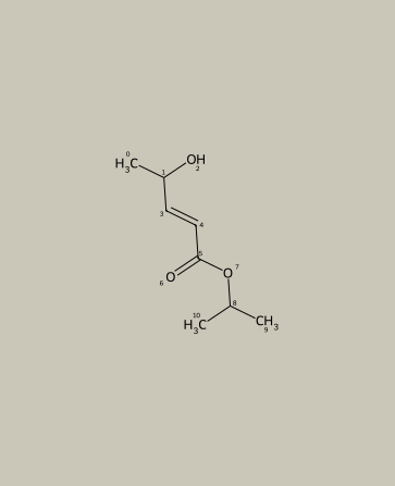 CC(O)C=CC(=O)OC(C)C